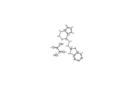 O=C(O)C(=O)O.c1ccc2c(c1)CN(CCC1CCCc3sccc31)C2